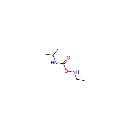 CCNOC(=O)NC(C)C